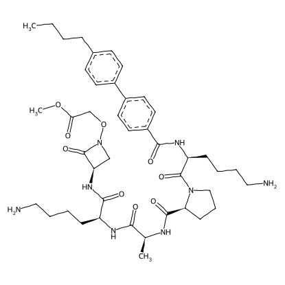 CCCCc1ccc(-c2ccc(C(=O)N[C@@H](CCCCN)C(=O)N3CCC[C@H]3C(=O)N[C@@H](C)C(=O)N[C@@H](CCCCN)C(=O)N[C@@H]3CN(OCC(=O)OC)C3=O)cc2)cc1